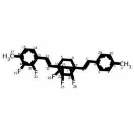 Cc1ccc(/C=C/C23CCC(/C=C/c4ccc(C)c(F)c4F)(CC2)C(F)(F)C3F)cc1